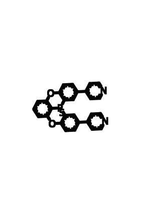 S=P12c3cc(-c4ccncc4)ccc3Oc3cccc(c31)Oc1ccc(-c3ccncc3)cc12